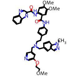 COCCOc1cncc(CN(CCc2ccc(NC(=O)c3cc(OC)c(OC)cc3NC(=O)c3cnc4ccccc4n3)cc2)Cc2ccc3c(cnn3C)c2)c1